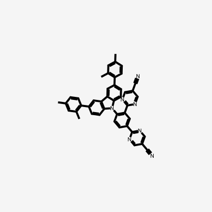 Cc1ccc(-c2ccc3c(c2)c2cc(-c4ccc(C)cc4C)ccc2n3-c2ccc(-c3ncc(C#N)cn3)cc2-c2ncc(C#N)cn2)c(C)c1